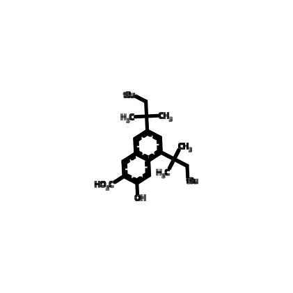 CC(C)(C)CC(C)(C)c1cc(C(C)(C)CC(C)(C)C)c2cc(O)c(C(=O)O)cc2c1